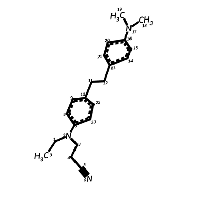 CCN(CCC#N)c1ccc(CCc2ccc(N(C)C)cc2)cc1